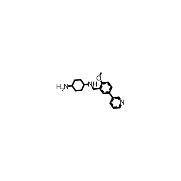 COc1ccc(-c2cccnc2)cc1CNC1CCC(N)CC1